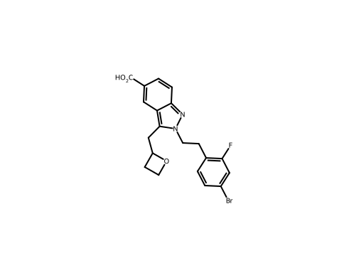 O=C(O)c1ccc2nn(CCc3ccc(Br)cc3F)c(CC3CCO3)c2c1